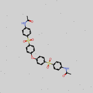 CC(=O)Nc1ccc(S(=O)(=O)c2ccc(Oc3ccc(S(=O)(=O)c4ccc(NC(C)=O)cc4)cc3)cc2)cc1